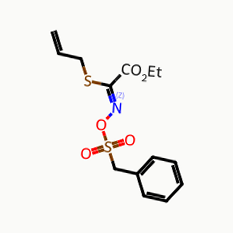 C=CCS/C(=N\OS(=O)(=O)Cc1ccccc1)C(=O)OCC